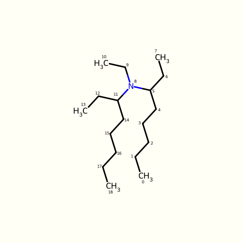 CCCCCC(CC)N(CC)C(CC)CCCCC